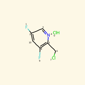 Cl.Fc1cnc(CCl)c(F)c1